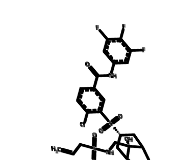 C=CCS(=O)(=O)NC[C@]1(O)C2CCC1C[C@@H](S(=O)(=O)c1cc(C(=O)Nc3cc(F)c(F)c(F)c3)ccc1Cl)C2